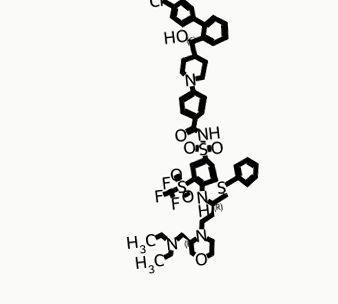 CCN(CC)C[C@@H]1COCCN1CC[C@H](CSc1ccccc1)Nc1ccc(S(=O)(=O)NC(=O)c2ccc(N3CCC([C@H](O)c4ccccc4-c4ccc(Cl)cc4)CC3)cc2)cc1S(=O)(=O)C(F)(F)F